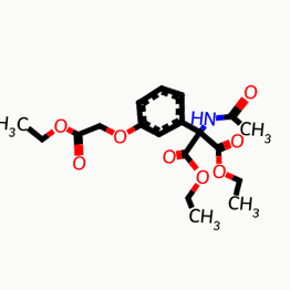 CCOC(=O)COc1cccc(C(NC(C)=O)(C(=O)OCC)C(=O)OCC)c1